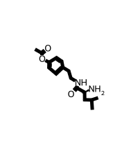 CC(=O)Oc1ccc(CCNC(=O)[C@@H](N)CC(C)C)cc1